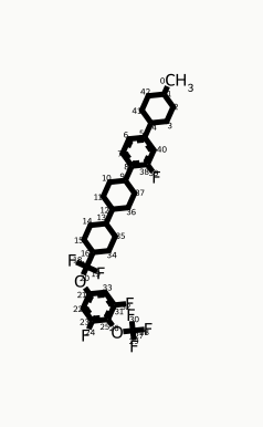 CC1CCC(c2ccc(C3CCC(C4CCC(C(F)(F)Oc5cc(F)c(OC(F)(F)F)c(F)c5)CC4)CC3)c(F)c2)CC1